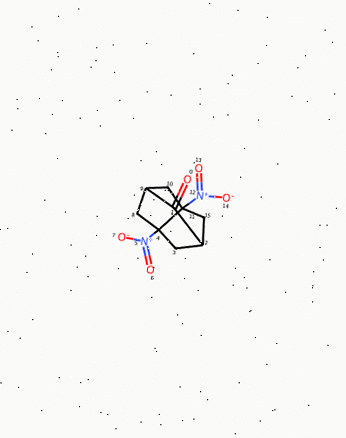 O=C1C2CC3([N+](=O)[O-])CC1CC3([N+](=O)[O-])C2